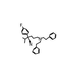 CC(C)C(C#N)(CCCN(CCc1ccccc1)CCc1ccccc1)c1ccc(F)cc1